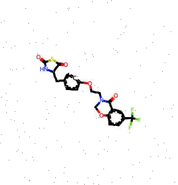 O=C1NC(Cc2ccc(OCCN3COc4ccc(C(F)(F)F)cc4C3=O)cc2)C(=O)S1